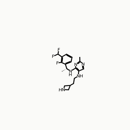 Cc1ncc(NCCC2CNC2)c(N[C@H](C)c2cccc(C(F)F)c2F)n1